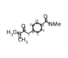 CNC(=O)c1ccc(CC(=O)N(C)C)cc1